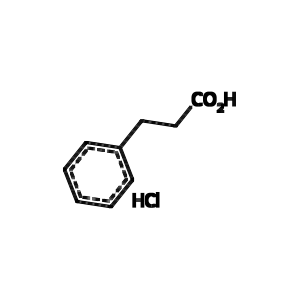 Cl.O=C(O)CCc1ccccc1